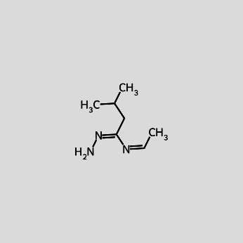 C/C=N\C(CC(C)C)=N/N